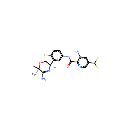 C[C@@]1(c2cc(NC(=O)c3ncc(C(F)F)cc3N)ccc2F)CO[C@@](C)(C(F)(F)F)C(N)=N1